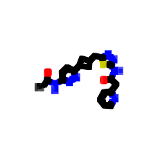 CC(C)C(=O)Nc1ccc(C2CC(Cc3nnc(NC(=O)Cc4ccccn4)s3)C2)nn1